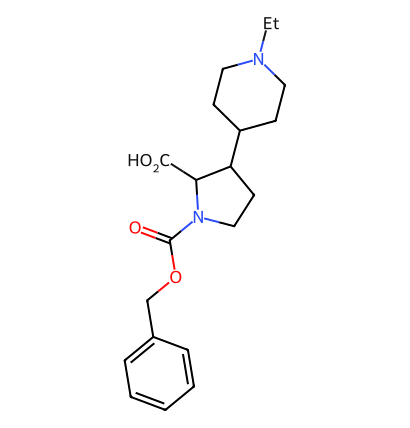 CCN1CCC(C2CCN(C(=O)OCc3ccccc3)C2C(=O)O)CC1